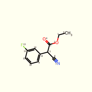 CCOC(=O)C(C#N)c1cccc(F)c1